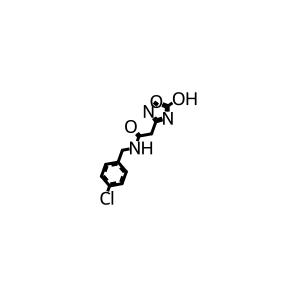 O=C(Cc1noc(O)n1)NCc1ccc(Cl)cc1